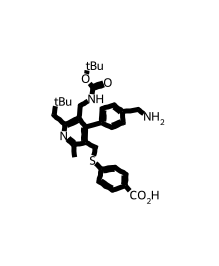 Cc1nc(CC(C)(C)C)c(CNC(=O)OC(C)(C)C)c(-c2ccc(CN)cc2)c1CSc1ccc(C(=O)O)cc1